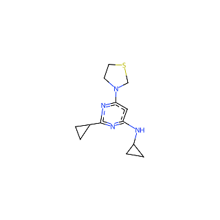 c1c(NC2CC2)nc(C2CC2)nc1N1CCSC1